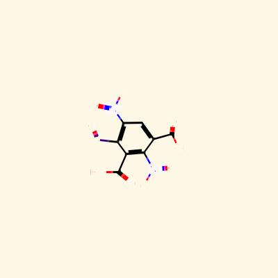 O=Ic1c([N+](=O)[O-])cc(C(=O)O)c([N+](=O)[O-])c1C(=O)O